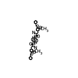 COc1cc(/C=C(\C#N)C(=O)O[C@H]2CO[C@H]3[C@@H]2OC[C@H]3OC(=O)/C(C#N)=C/c2ccc(OCc3ccccc3)c(OC)c2)ccc1OCc1ccccc1